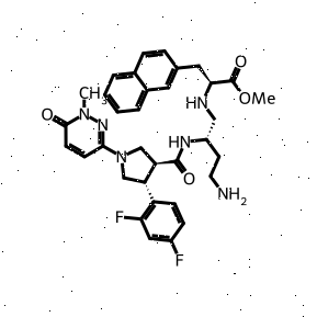 COC(=O)[C@H](Cc1ccc2ccccc2c1)NC[C@H](CCN)NC(=O)[C@@H]1CN(c2ccc(=O)n(C)n2)C[C@H]1c1ccc(F)cc1F